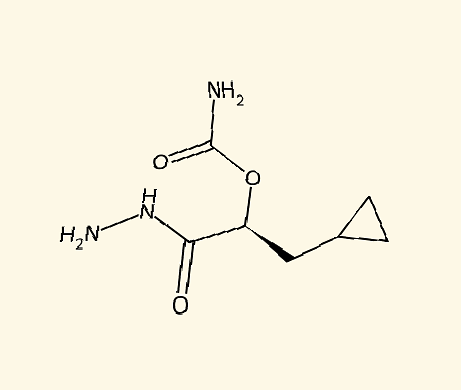 NNC(=O)[C@H](CC1CC1)OC(N)=O